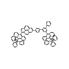 c1ccc(-c2cc(-c3ccc(-c4cc5ccc6ccc(-c7c8ccccc8c([Si](c8ccccc8)(c8ccccc8)c8ccccc8)c8ccccc78)c7ccc(c4)c5c67)cc3)cc(-c3c4ccccc4c([Si](c4ccccc4)(c4ccccc4)c4ccccc4)c4ccccc34)c2)cc1